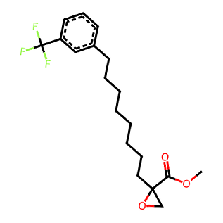 COC(=O)C1(CCCCCCCCc2cccc(C(F)(F)F)c2)CO1